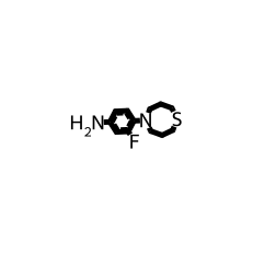 Nc1ccc(N2CCCSCCC2)c(F)c1